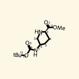 COC(=O)[C@H]1CCC(NC(=O)OC(C)(C)C)CN1